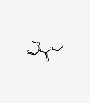 CCOC(=O)N(C=S)OC